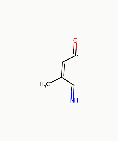 C/C([C]=N)=C/[C]=O